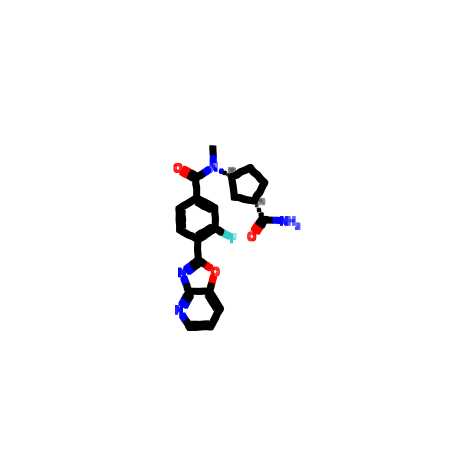 CN(C(=O)c1ccc(-c2nc3ncccc3o2)c(F)c1)[C@@H]1CC[C@H](C(N)=O)C1